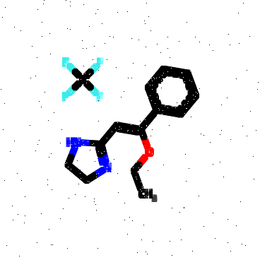 CCOC(=CC1=NCCN1)c1ccccc1.F[B-](F)(F)F